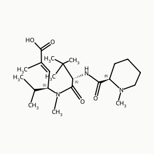 CC(=C[C@H](C(C)C)N(C)C(=O)[C@@H](NC(=O)[C@H]1CCCCN1C)C(C)(C)C)C(=O)O